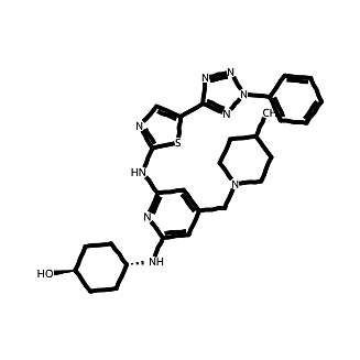 CC1CCN(Cc2cc(Nc3ncc(-c4nnn(-c5ccccc5)n4)s3)nc(N[C@H]3CC[C@H](O)CC3)c2)CC1